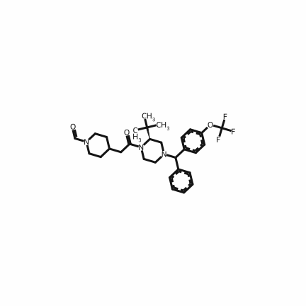 CC(C)(C)[C@H]1CN(C(c2ccccc2)c2ccc(OC(F)(F)F)cc2)CCN1C(=O)CC1CCN(C=O)CC1